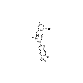 Cc1cc(O)cc(CN2[C@H](C)CN(c3nc4cc(F)c(C(F)(F)F)cc4s3)C[C@@H]2C)c1